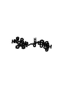 CO[C@@H]1[C@H](N(C)C(=O)CCCCCCC(=O)NCCOc2cccc3c2C(=O)N(C2CCC(=O)NC2=O)C3=O)C[C@H]2O[C@]1(C)n1c3ccccc3c3c4c(c5c6ccccc6n2c5c31)C(=O)NC4